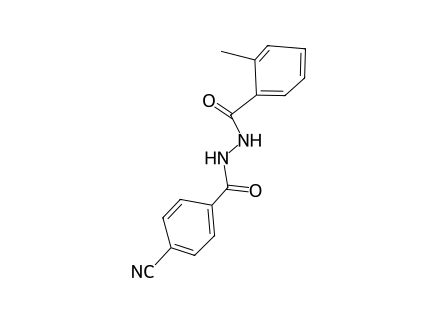 Cc1ccccc1C(=O)NNC(=O)c1ccc(C#N)cc1